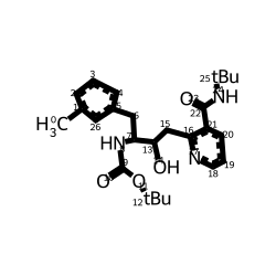 Cc1cccc(CC(NC(=O)OC(C)(C)C)C(O)Cc2ncccc2C(=O)NC(C)(C)C)c1